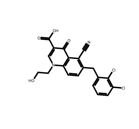 N#Cc1c(Cc2cccc(Cl)c2Cl)ccc2c1c(=O)c(C(=O)O)cn2CCO